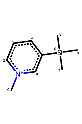 C[n+]1cccc([Si](C)(C)C)c1